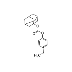 CSc1ccc(OC(=O)OC23CC4CC(CC(C4)C2)C3)cc1